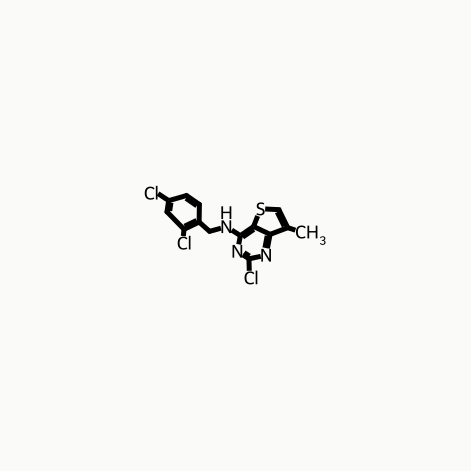 Cc1csc2c(NCc3ccc(Cl)cc3Cl)nc(Cl)nc12